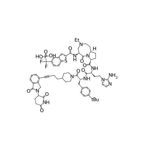 CCN1CC[C@H]2CC[C@@H](C(=O)N[C@@H](CCn3ccnc3N)C(=O)N[C@@H](Cc3ccc(C(C)(C)C)cc3)C(=O)N3CCC(CCC#Cc4cccc5c4CN(C4CCC(=O)NC4=O)C5=O)CC3)N2C(=O)[C@@H](NC(=O)c2cc3cc(C(F)(F)P(=O)(O)O)ccc3s2)C1